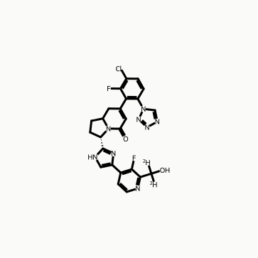 [2H]C([2H])(O)c1nccc(-c2c[nH]c([C@@H]3CCC4CC(c5c(-n6cnnn6)ccc(Cl)c5F)=CC(=O)N43)n2)c1F